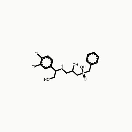 O=P(O)(Cc1ccccc1)CC(O)CNC(CO)c1ccc(Cl)c(Cl)c1